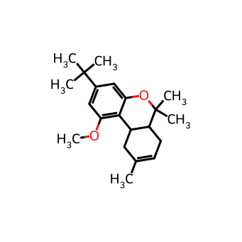 COc1cc(C(C)(C)C)cc2c1C1CC(C)=CCC1C(C)(C)O2